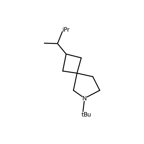 CC(C)C(C)C1CC2(CCN(C(C)(C)C)C2)C1